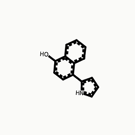 Oc1ccc(-c2ccc[nH]2)c2ccccc12